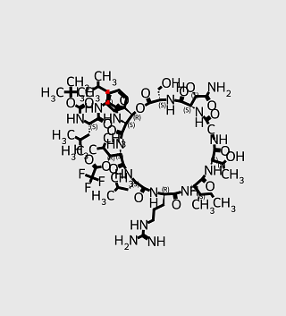 CC[C@H](C)[C@@H]1NC(=O)[C@@H](CCCNC(=N)N)NC(=O)[C@H](CC(C)C)NC(=O)[C@H]([C@H](OC(=O)C(F)(F)F)C(C)C)NC(=O)[C@@H](NC(=O)[C@H](CC(C)C)NC(=O)[C@H](CC(C)C)NC(=O)OC(C)(C)C)[C@@H](c2ccccc2)OC(=O)[C@H](CO)NC(=O)[C@H]([C@H](O)C(N)=O)NC(=O)CNC(=O)[C@H]([C@H](C)O)NC1=O